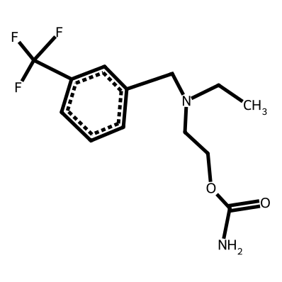 CCN(CCOC(N)=O)Cc1cccc(C(F)(F)F)c1